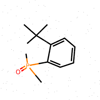 CC(C)(C)c1ccccc1P(C)(C)=O